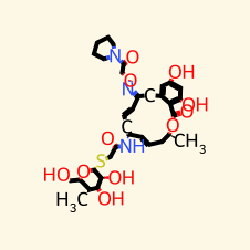 C[C@@H]1C(CO)O[C@@H](SCC(=O)N[C@H]2/C=C/C[C@@H](C)OC(=O)c3c(O)cc(O)cc3CC(=N\OCC(=O)N3CCCCC3)/C=C/C2)[C@@H](O)C1O